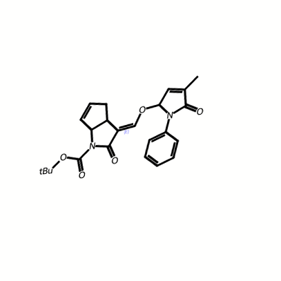 CC1=CC(O/C=C2/C(=O)N(C(=O)OC(C)(C)C)C3C=CCC23)N(c2ccccc2)C1=O